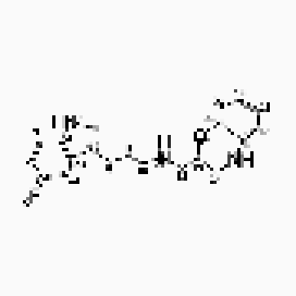 Fc1ccc2[nH]cc(CCCNCC3CNc4ccccc4O3)c2c1